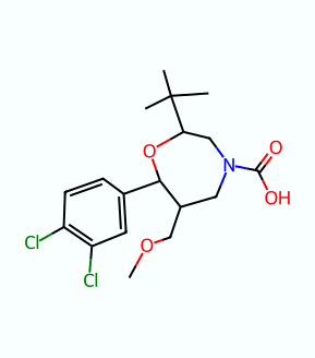 COCC1CN(C(=O)O)CC(C(C)(C)C)OC1c1ccc(Cl)c(Cl)c1